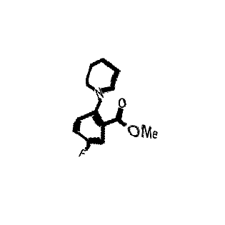 COC(=O)c1cc(F)ccc1N1CCCCC1